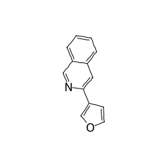 c1ccc2cc(-c3ccoc3)ncc2c1